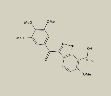 COc1cc(C(=O)c2n[nH]c3c([C@@H](C)O)c(OC)ccc23)cc(OC)c1OC